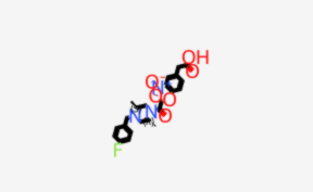 C[C@@H]1CN(Cc2ccc(F)cc2)[C@@H](C)CN1C(=O)COc1ccc(CC(=O)O)cc1[N+](=O)[O-]